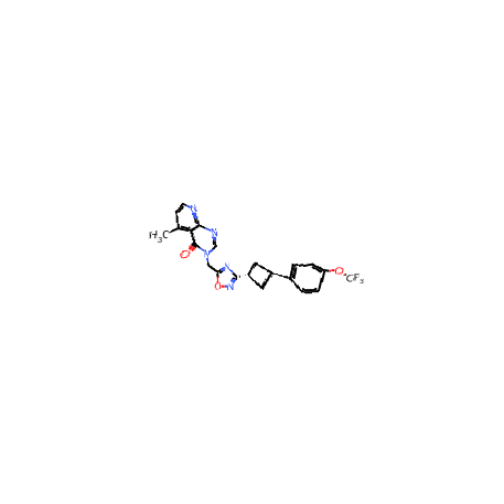 Cc1ccnc2ncn(Cc3nc([C@H]4C[C@H](c5ccc(OC(F)(F)F)cc5)C4)no3)c(=O)c12